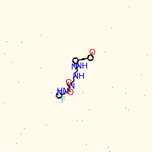 COc1cccc(C#Cc2cccc3nc(CCNCCc4nc(C(=O)NCc5ncccc5F)co4)[nH]c23)c1